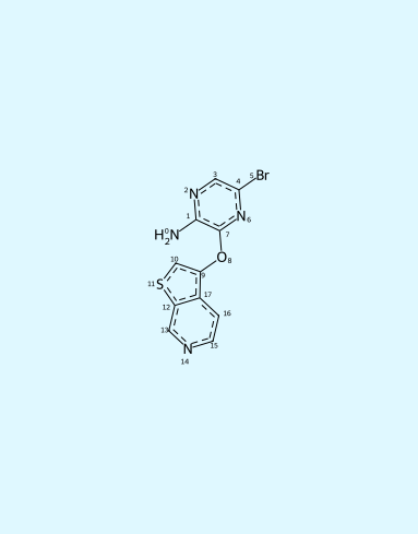 Nc1ncc(Br)nc1Oc1csc2cnccc12